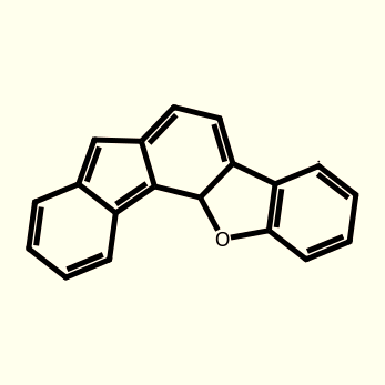 [c]1cccc2c1C1=CC=C3C=c4ccccc4=C3C1O2